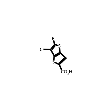 O=C(O)c1cc2sc(F)c(Cl)c2s1